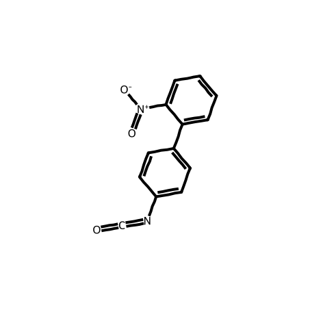 O=C=Nc1ccc(-c2ccccc2[N+](=O)[O-])cc1